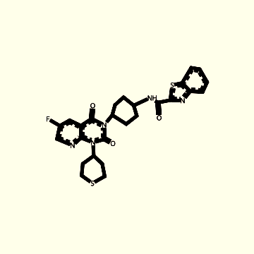 O=C(NC1CCC(n2c(=O)c3cc(F)cnc3n(C3CCSCC3)c2=O)CC1)c1nc2ccccc2s1